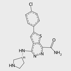 NC(=O)c1nnc(N[C@@H]2CCNC2)c2cc(-c3ccc(Cl)cc3)sc12